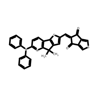 CC1(C)c2cc(C=C3C(=O)c4cscc4C3=O)sc2-c2ccc(N(c3ccccc3)c3ccccc3)nc21